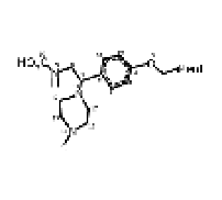 CCCC(C)COc1ccc(C(CNC(=O)O)N2CCN(C)CC2)cc1